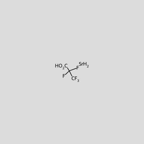 O=C(O)C(F)(F)C(F)(F)F.[SrH2]